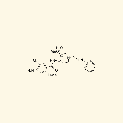 COc1cc(N)c(Cl)cc1C(=O)N[C@@H]1CCN(CCNc2ncccn2)C[C@@H]1OC.O